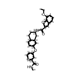 CCOc1cccc2cc(C(=O)NC3CCc4ccc(Oc5ccnc(C(=O)NC)c5)cc4C3)oc12